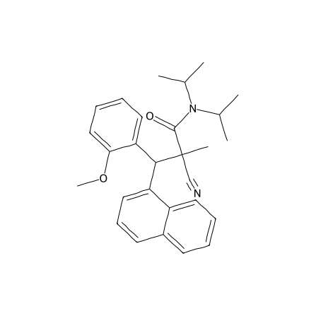 COc1ccccc1C(c1cccc2ccccc12)C(C)(C#N)C(=O)N(C(C)C)C(C)C